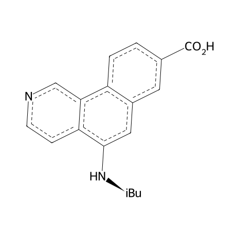 CC[C@H](C)Nc1cc2cc(C(=O)O)ccc2c2cnccc12